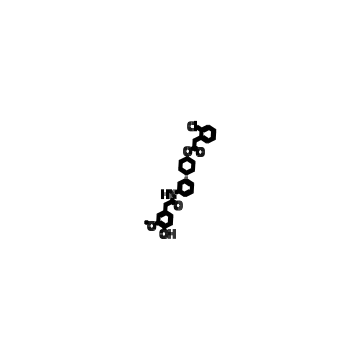 COc1cc(CC(=O)Nc2cccc([C@H]3CC[C@@H](OC(=O)Cc4ccccc4Cl)CC3)c2)ccc1O